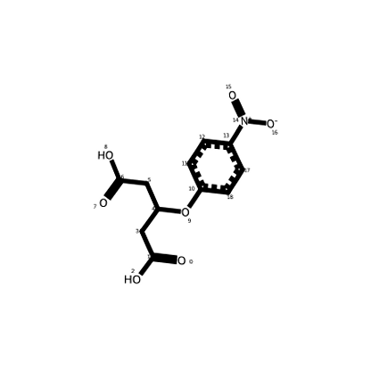 O=C(O)CC(CC(=O)O)Oc1ccc([N+](=O)[O-])cc1